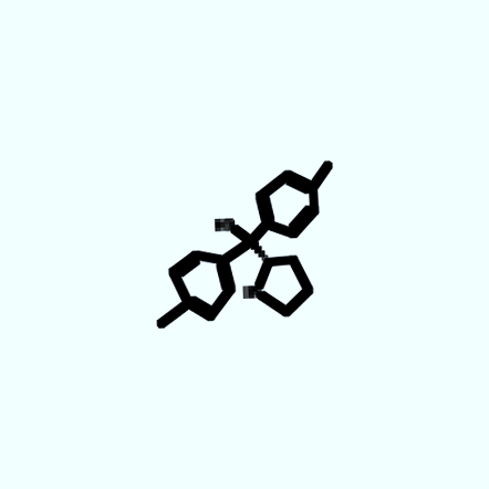 Cc1ccc(C(O)(c2ccc(C)cc2)[C@@H]2CCCN2)cc1